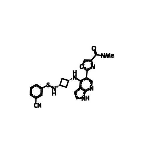 CNC(=O)c1coc(-c2cnc3[nH]ccc3c2N[C@H]2C[C@@H](NSc3cccc(C#N)c3)C2)n1